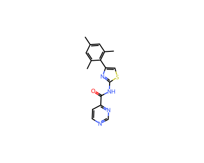 Cc1cc(C)c(-c2csc(NC(=O)c3ccncn3)n2)c(C)c1